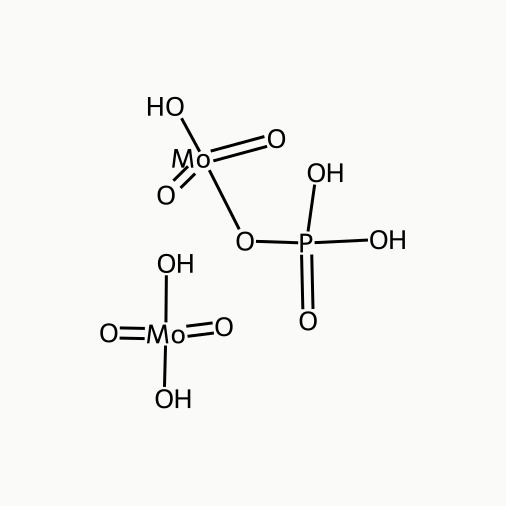 O=P(O)(O)[O][Mo](=[O])(=[O])[OH].[O]=[Mo](=[O])([OH])[OH]